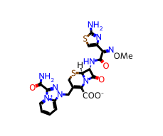 CO/N=C(\C(=O)N[C@@H]1C(=O)N2C(C(=O)[O-])=C(Cn3nc(C(N)=O)[n+]4ccccc34)CS[C@@H]12)c1csc(N)n1